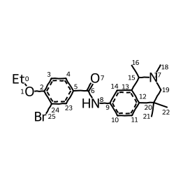 CCOc1ccc(C(=O)Nc2ccc3c(c2)C(C)N(C)CC3(C)C)cc1Br